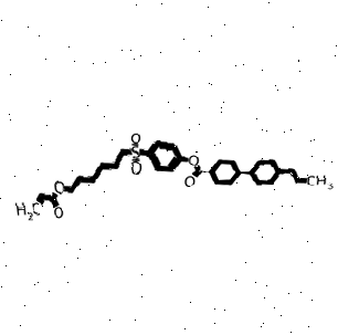 C=CC(=O)OCCCCCCS(=O)(=O)c1ccc(OC(=O)[C@H]2CC[C@H](C3CCC(CCC)CC3)CC2)cc1